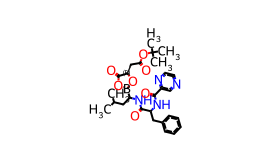 CC(C)CC(NC(=O)C(Cc1ccccc1)NC(=O)c1cnccn1)B1OC(=O)[C@@H](CC(=O)OC(C)(C)C)O1